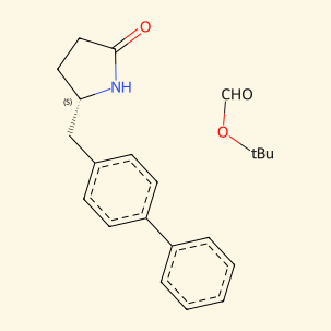 CC(C)(C)OC=O.O=C1CC[C@@H](Cc2ccc(-c3ccccc3)cc2)N1